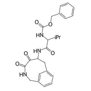 CC(C)C(NC(=O)OCc1ccccc1)C(=O)NC1Cc2cccc(c2)CNC(=O)C1=O